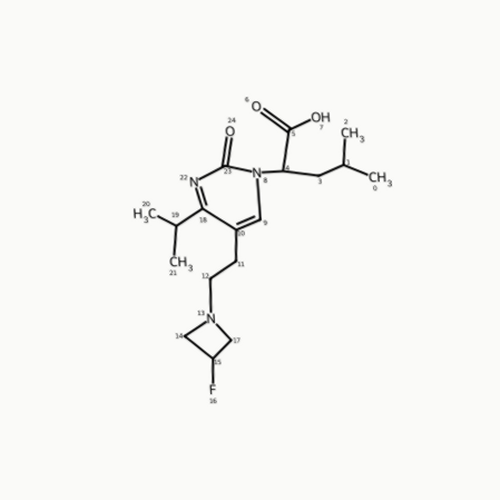 CC(C)CC(C(=O)O)n1cc(CCN2CC(F)C2)c(C(C)C)nc1=O